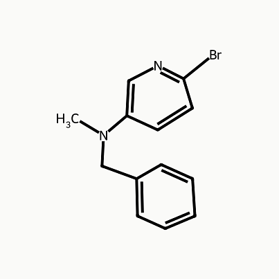 CN(Cc1ccccc1)c1ccc(Br)nc1